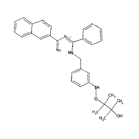 CC(C)(O)C(C)(C)OBc1cccc(CN/C(=N\C(=N)c2ccc3ccccc3c2)c2ccccc2)c1